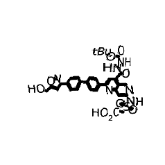 CC(C)(C)OC(=O)NNC(=O)c1cc(-c2ccc(-c3ccc(-c4cc(CO)on4)cc3)cc2)nc2cc(NS(=O)(=O)CC(=O)O)ncc12